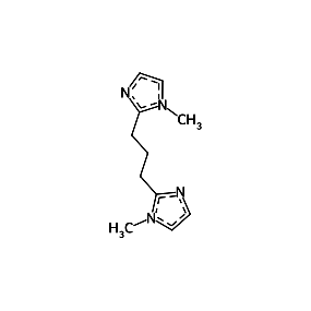 Cn1ccnc1CCCc1nccn1C